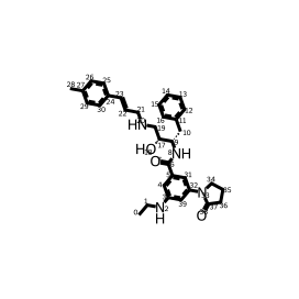 CCNc1cc(C(=O)N[C@@H](Cc2ccccc2)[C@H](O)CNCC=Cc2ccc(C)cc2)cc(N2CCCC2=O)c1